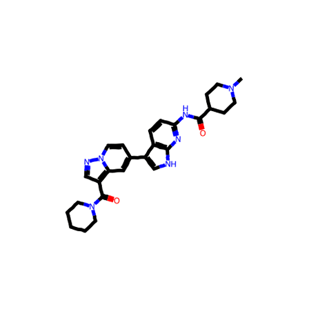 CN1CCC(C(=O)Nc2ccc3c(-c4ccn5ncc(C(=O)N6CCCCC6)c5c4)c[nH]c3n2)CC1